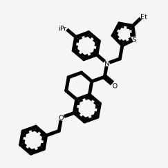 CCc1ccc(CN(C(=O)C2CCCc3c(OCc4ccccc4)cccc32)c2ccc(C(C)C)cc2)s1